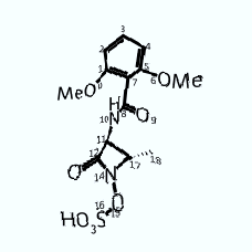 COc1cccc(OC)c1C(=O)N[C@@H]1C(=O)N(OS(=O)(=O)O)[C@H]1C